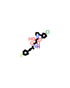 CC(C)(C#Cc1ccc(F)cc1)NC(=O)[C@H](O)[C@@H](O)C(=O)N1CCCC1c1cccc(Cl)c1